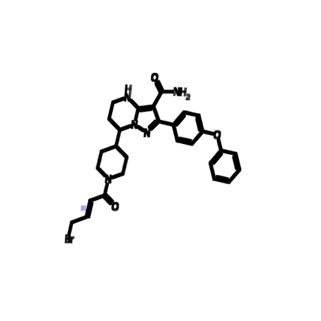 NC(=O)c1c(-c2ccc(Oc3ccccc3)cc2)nn2c1NCCC2C1CCN(C(=O)/C=C/CBr)CC1